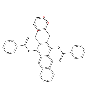 O=C(Oc1c2c(c(OC(=O)c3ccccc3)c3cc4ccccc4cc13)C1C3=C(C=CCC3)C2c2ccccc21)c1ccccc1